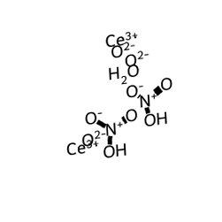 O.O=[N+]([O-])O.O=[N+]([O-])O.[Ce+3].[Ce+3].[O-2].[O-2].[O-2]